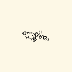 Cn1nccc1-c1cc(NC(=O)Cc2ccc(Cl)cc2)ccc1OCCCN1CCCC1